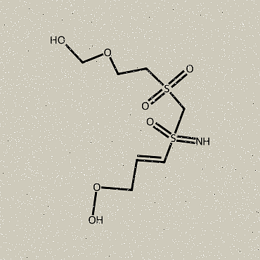 N=S(=O)(/C=C/COO)CS(=O)(=O)CCOCO